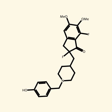 COc1cc2c(c(F)c1OC)C(=O)C(F)(CC1CCN(Cc3ccc(O)cc3)CC1)C2